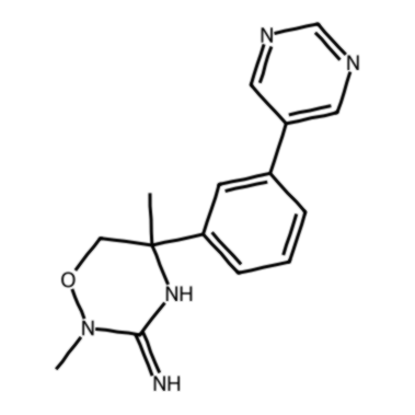 CN1OCC(C)(c2cccc(-c3cncnc3)c2)NC1=N